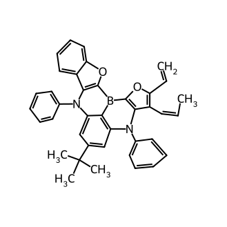 C=Cc1oc2c(c1/C=C\C)N(c1ccccc1)c1cc(C(C)(C)C)cc3c1B2c1oc2ccccc2c1N3c1ccccc1